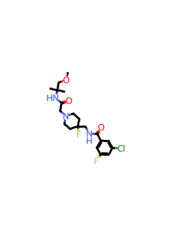 COCC(C)(C)NC(=O)CN1CCC(F)(CNC(=O)c2cc(F)cc(Cl)c2)CC1